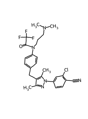 Cc1nn(-c2ccc(C#N)c(Cl)c2)c(C)c1Cc1ccc(N(CCCN(C)C)C(=O)C(F)(F)F)cc1